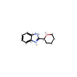 c1ccc2[nH]c(C3CCCCO3)nc2c1